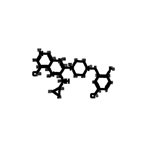 Fc1ccc(Cl)cc1CN1CCN(c2nc3cncc(Cl)c3nc2NC2CC2)CC1